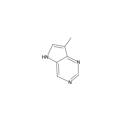 Cc1c[nH]c2cncnc12